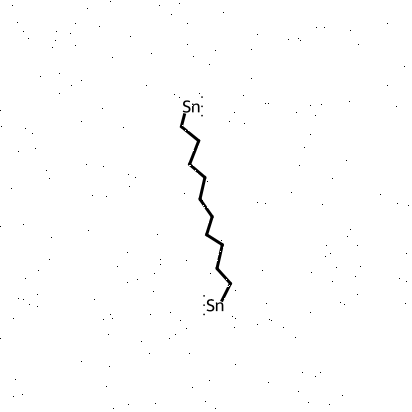 [Sn][CH2]CCCCCCCC[CH2][Sn]